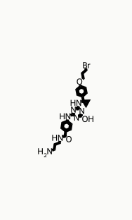 NCCCNC(=O)c1ccc(Nc2nc(O)nc(NC3(c4ccc(OCCCBr)cc4)CC3)n2)cc1